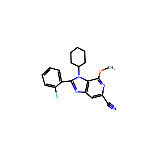 COc1nc(C#N)cc2nc(-c3ccccc3F)n(C3CCCCC3)c12